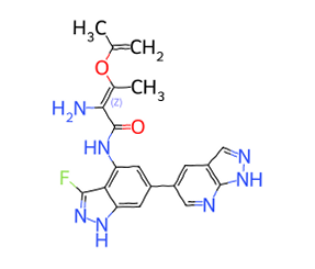 C=C(C)O/C(C)=C(\N)C(=O)Nc1cc(-c2cnc3[nH]ncc3c2)cc2[nH]nc(F)c12